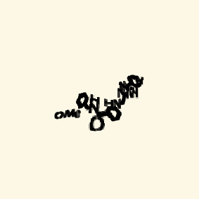 COc1ccccc1CNC(=O)c1cccc(NCc2nnc(-c3ccncc3)[nH]2)c1